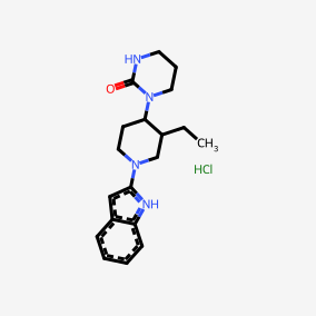 CCC1CN(c2cc3ccccc3[nH]2)CCC1N1CCCNC1=O.Cl